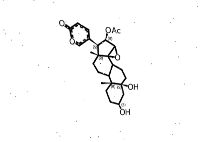 CC(=O)O[C@H]1C2OC23C2CC[C@]4(O)C[C@@H](O)CC[C@]4(C)C2CC[C@]3(C)[C@H]1c1ccc(=O)oc1